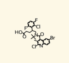 Cc1c(Cl)nc2ccc(Br)cc2c1C(=O)N(CC(CCC(=O)O)c1c(F)ccc(F)c1Cl)C(C)(C)C